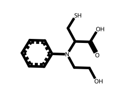 O=C(O)C(CS)N(CCO)c1ccccc1